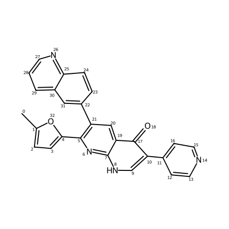 Cc1ccc(-c2nc3[nH]cc(-c4ccncc4)c(=O)c3cc2-c2ccc3ncccc3c2)o1